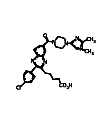 Cc1nc(N2CCN(C(=O)c3ccc4nc(-c5ccc(Cl)cc5)c(CCCCC(=O)O)nc4c3)CC2)cn1C